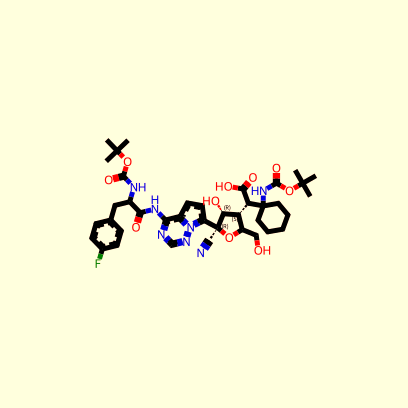 CC(C)(C)OC(=O)NC(Cc1ccc(F)cc1)C(=O)Nc1ncnn2c([C@]3(C#N)OC(CO)[C@@H](C(C(=O)O)C4(NC(=O)OC(C)(C)C)CCCCC4)[C@H]3O)ccc12